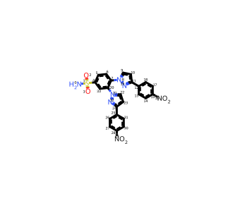 NS(=O)(=O)c1ccc(-n2ccc(-c3ccc([N+](=O)[O-])cc3)n2)c(-n2ccc(-c3ccc([N+](=O)[O-])cc3)n2)c1